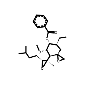 CC[C@@H]1C[C@]2(CO2)[C@@H]([C@@]2(C)O[C@@H]2CCC(C)C)[C@H](OC)[C@@H]1OC(=O)c1ccccc1